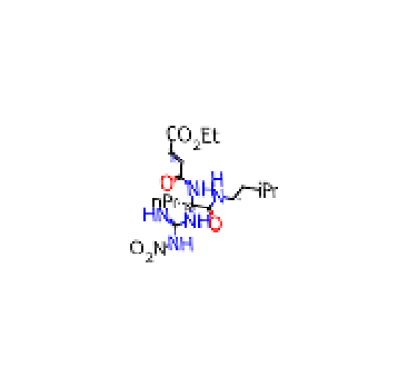 CCC[C@](NC(=N)N[N+](=O)[O-])(NC(=O)/C=C/C(=O)OCC)C(=O)N[CH]CC(C)C